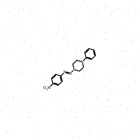 O=[N+]([O-])c1ccc(/N=N/N2CCN(c3ccccc3)CC2)cc1